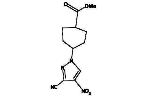 COC(=O)C1CCC(n2cc([N+](=O)[O-])c(C#N)n2)CC1